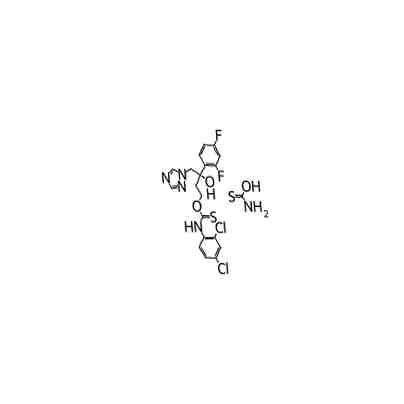 NC(O)=S.O[C@@](CCOC(=S)Nc1ccc(Cl)cc1Cl)(Cn1cncn1)c1ccc(F)cc1F